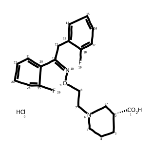 Cl.O=C(O)[C@@H]1CCCN(CCO/N=C(/Cc2ccccc2F)c2ccccc2F)C1